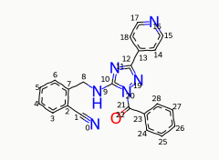 N#Cc1ccccc1CNc1nc(-c2ccncc2)nn1C(=O)c1ccccc1